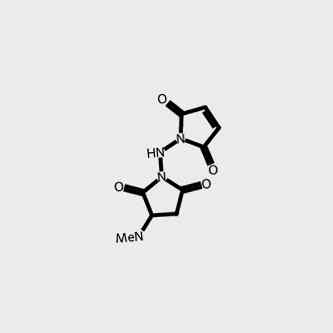 CNC1CC(=O)N(NN2C(=O)C=CC2=O)C1=O